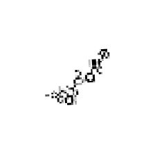 O=C(O)CC(NC(=O)C1CC(=O)N(c2cccc(CC(=O)NCc3ccco3)c2)C1)c1cccnc1